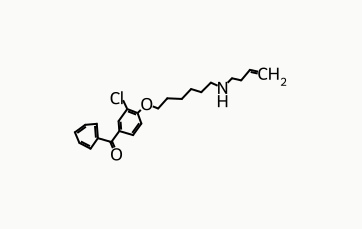 C=CCCNCCCCCCOc1ccc(C(=O)c2ccccc2)cc1Cl